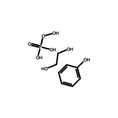 O=P(O)(O)OO.OCCO.Oc1ccccc1